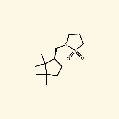 CC1(C)CC[C@H](CN2CCCS2(=O)=O)C1(C)C